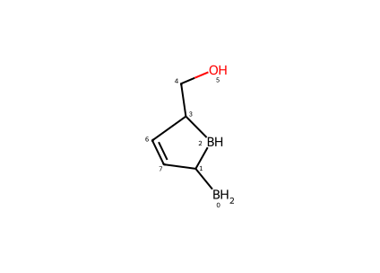 BC1BC(CO)C=C1